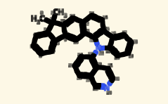 CC1(C)c2ccccc2-c2cc3c(ccc4c5ccccc5n(-c5cccc6cnccc56)c34)cc21